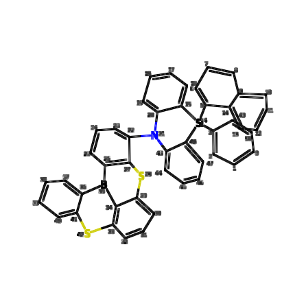 c1ccc([Si]2(c3cccc4ccccc34)c3ccccc3N(c3cccc4c3Sc3cccc5c3B4c3ccccc3S5)c3ccccc32)cc1